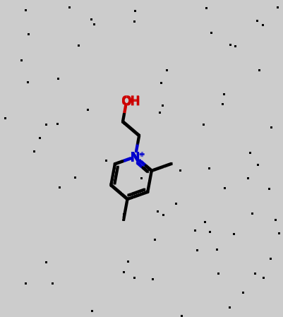 Cc1cc[n+](CCO)c(C)c1